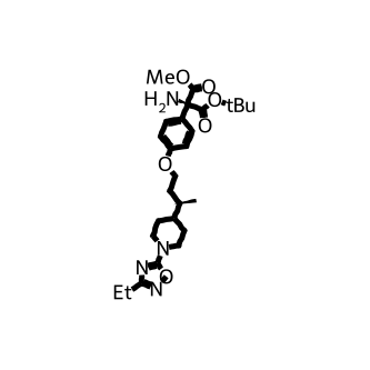 CCc1noc(N2CCC([C@H](C)CCOc3ccc([C@](N)(C(=O)OC)C(=O)OC(C)(C)C)cc3)CC2)n1